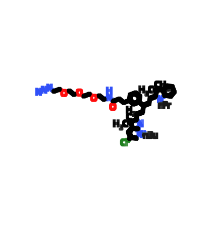 CCCC[n+]1cc(Cl)cc2c1N=C(/C=C/C(=C/C=C1\N(CCC)c3ccccc3C1(C)C)c1cccc(CCC(=O)NCCOCCOCCOCCN=[N+]=[N-])c1)C2(C)C